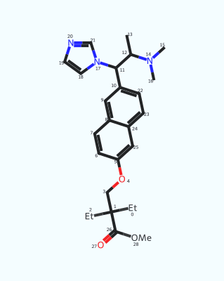 CCC(CC)(COc1ccc2cc(C(C(C)N(C)C)n3ccnc3)ccc2c1)C(=O)OC